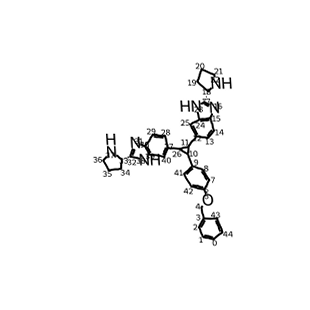 c1ccc(COc2ccc(C3C(c4ccc5nc([C@@H]6CCCN6)[nH]c5c4)C3c3ccc4nc([C@@H]5CCCN5)[nH]c4c3)cc2)cc1